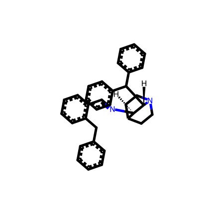 C(=N\[C@@H]1C2CCN(CC2)[C@H]1C(c1ccccc1)c1ccccc1)/c1ccccc1Cc1ccccc1